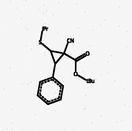 CC(C)SC1C(c2ccccc2)C1(C#N)C(=O)OC(C)(C)C